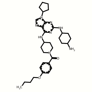 CCCCOc1ccc(C(=O)N2CCC(Nc3nc(NC4CCC(N)CC4)nc4c3ncn4C3CCCC3)CC2)cc1